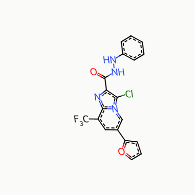 O=C(NNc1ccccc1)c1nc2c(C(F)(F)F)cc(-c3ccco3)cn2c1Cl